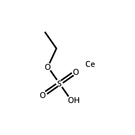 CCOS(=O)(=O)O.[Ce]